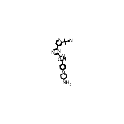 CC(C)(C#N)c1cc(-c2cncc(-c3nnc(-c4ccc(N5CCC(N)CC5)cc4)o3)n2)ccn1